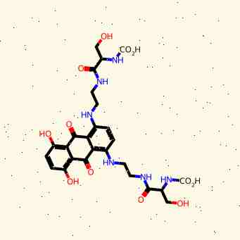 O=C(O)NC(CO)C(=O)NCCNc1ccc(NCCNC(=O)C(CO)NC(=O)O)c2c1C(=O)c1c(O)ccc(O)c1C2=O